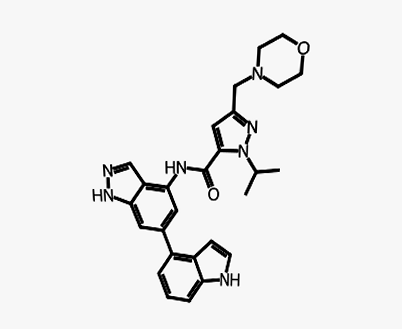 CC(C)n1nc(CN2CCOCC2)cc1C(=O)Nc1cc(-c2cccc3[nH]ccc23)cc2[nH]ncc12